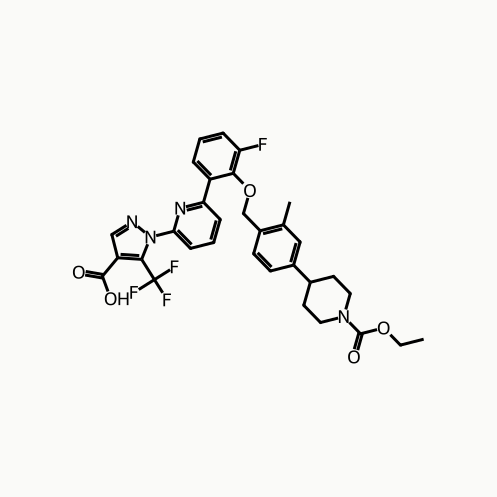 CCOC(=O)N1CCC(c2ccc(COc3c(F)cccc3-c3cccc(-n4ncc(C(=O)O)c4C(F)(F)F)n3)c(C)c2)CC1